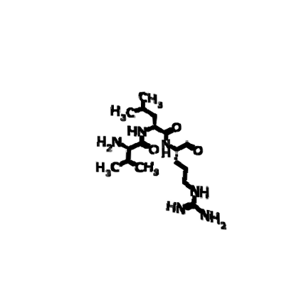 CC(C)C[C@H](NC(=O)[C@H](N)C(C)C)C(=O)N[C@H]([C]=O)CCCNC(=N)N